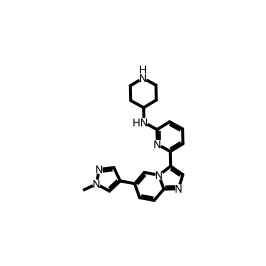 Cn1cc(-c2ccc3ncc(-c4cccc(NC5CCNCC5)n4)n3c2)cn1